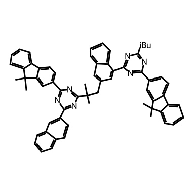 CCC(C)c1nc(-c2ccc3c(c2)C(C)(C)c2ccccc2-3)nc(-c2cc(CC(C)(C)c3nc(-c4ccc5c(c4)C(C)(C)c4ccccc4-5)nc(-c4ccc5ccccc5c4)n3)cc3ccccc23)n1